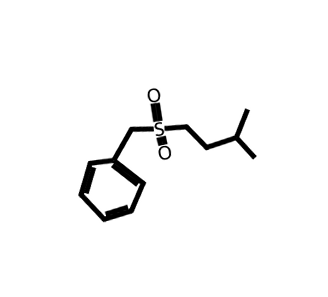 CC(C)CCS(=O)(=O)Cc1ccccc1